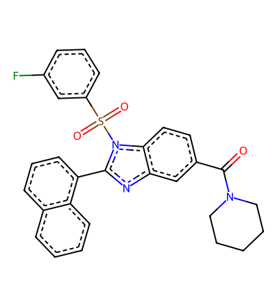 O=C(c1ccc2c(c1)nc(-c1cccc3ccccc13)n2S(=O)(=O)c1cccc(F)c1)N1CCCCC1